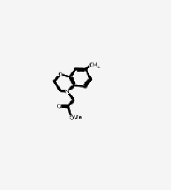 COC(=O)CN1CCOc2cc(C)ccc21